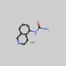 Cl.NC(=O)Nc1cccc2cnccc12